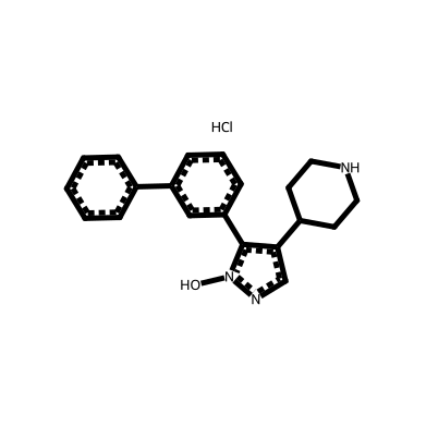 Cl.On1ncc(C2CCNCC2)c1-c1cccc(-c2ccccc2)c1